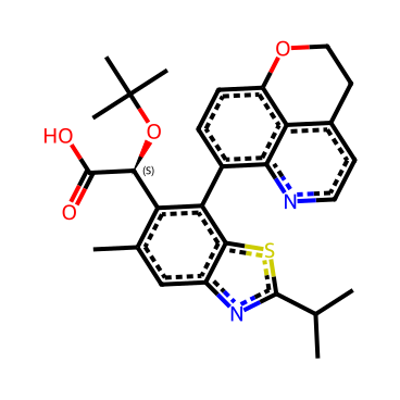 Cc1cc2nc(C(C)C)sc2c(-c2ccc3c4c(ccnc24)CCO3)c1[C@H](OC(C)(C)C)C(=O)O